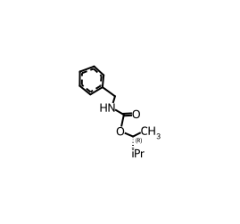 CC(C)[C@@H](C)OC(=O)NCc1ccccc1